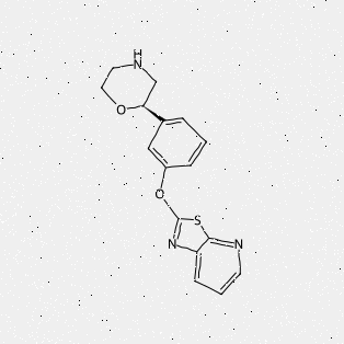 c1cc(Oc2nc3cccnc3s2)cc([C@@H]2CNCCO2)c1